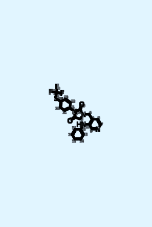 O=C1CN(Cc2ccncc2Nc2ccccc2)C(=O)N1c1ccc(SC(F)(F)F)cc1